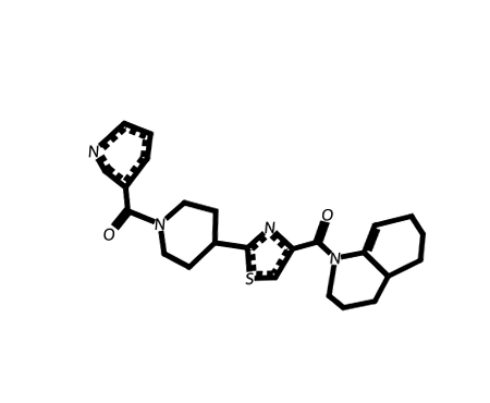 O=C(c1cccnc1)N1CCC(c2nc(C(=O)N3CCCC4CCCC=C43)cs2)CC1